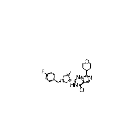 C[C@@H]1CN(Cc2ccc(F)cc2)C[C@H]1c1nn2c(C3CCOCC3)ncc2c(=O)[nH]1